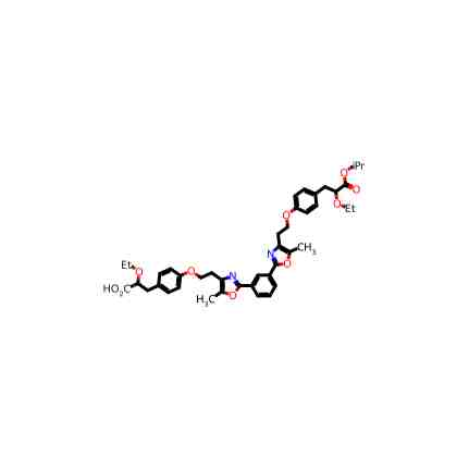 CCOC(Cc1ccc(OCCc2nc(-c3cccc(-c4nc(CCOc5ccc(CC(OCC)C(=O)OC(C)C)cc5)c(C)o4)c3)oc2C)cc1)C(=O)O